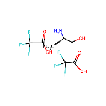 N[C@@H](CO)C(=O)O.O=C(O)C(F)(F)F.O=C(O)C(F)(F)F